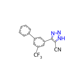 N#Cc1[nH]nnc1-c1cc(-c2ccccc2)cc(C(F)(F)F)c1